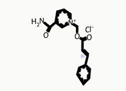 NC(=O)c1ccc[n+](COC(=O)/C=C/c2ccccc2)c1.[Cl-]